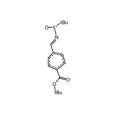 CC(C)(C)OC(=O)c1ccc(/C=N/[S+]([O-])C(C)(C)C)cc1